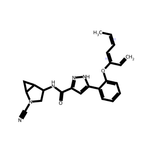 C=C/C(=C\C=C/C)Oc1ccccc1-c1cc(C(=O)NC2CN(C#N)C3CC23)n[nH]1